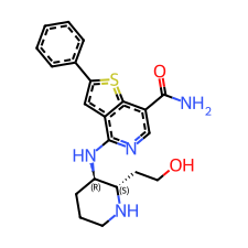 NC(=O)c1cnc(N[C@@H]2CCCN[C@H]2CCO)c2cc(-c3ccccc3)sc12